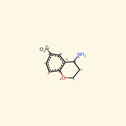 NC1CCOc2ccc([N+](=O)[O-])cc21